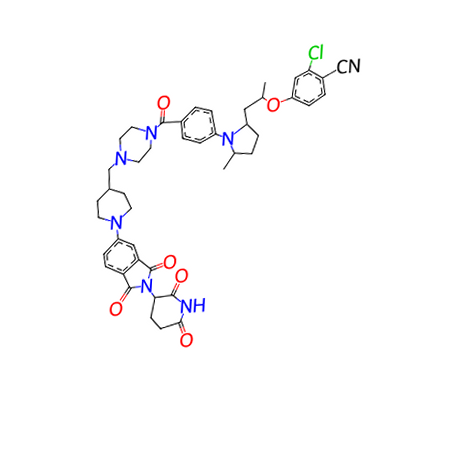 CC(CC1CCC(C)N1c1ccc(C(=O)N2CCN(CC3CCN(c4ccc5c(c4)C(=O)N(C4CCC(=O)NC4=O)C5=O)CC3)CC2)cc1)Oc1ccc(C#N)c(Cl)c1